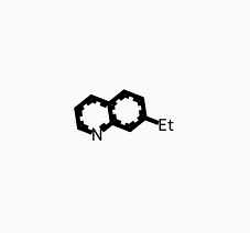 CCc1ccc2cccnc2c1